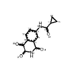 O=C1NC(=O)c2cc(NC(=O)C3CC3)ccc2C1=O